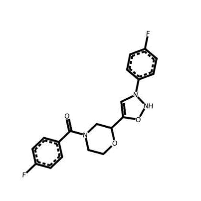 O=C(c1ccc(F)cc1)N1CCOC(C2=CN(c3ccc(F)cc3)NO2)C1